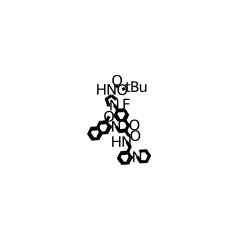 CC(C)(C)OC(=O)NC1CCN(c2c(F)cc3c(=O)c(C(=O)NCc4ccccc4N4CCCCC4)cn4c3c2Oc2cc3ccccc3cc2-4)C1